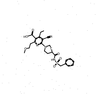 CCc1c(C#N)c(N2CCC(C(=O)NS(=O)(=O)Cc3ccccc3)CC2)nc(CCOC)c1C(=O)O